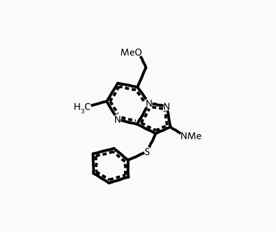 CNc1nn2c(COC)cc(C)nc2c1Sc1ccccc1